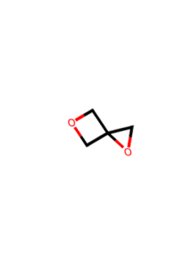 C1OCC12CO2